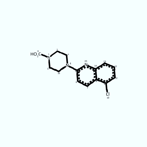 O=C(O)N1CCN(c2ccc3c(Cl)cccc3n2)CC1